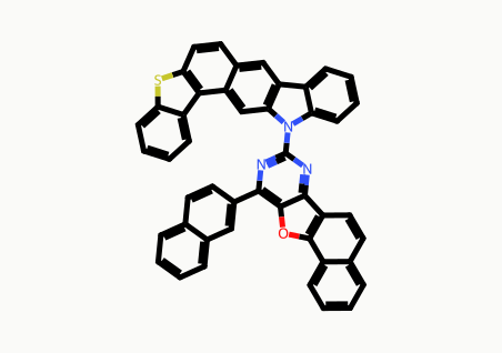 c1ccc2cc(-c3nc(-n4c5ccccc5c5cc6ccc7sc8ccccc8c7c6cc54)nc4c3oc3c5ccccc5ccc43)ccc2c1